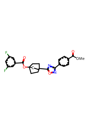 COC(=O)c1ccc(-c2noc(C34CCC(OC(=O)c5cc(F)cc(F)c5)(CC3)CC4)n2)cc1